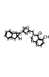 Cc1ccnc2ncn(Cc3nc([C@@H]4C5c6ccccc6C[C@H]54)no3)c(=O)c12